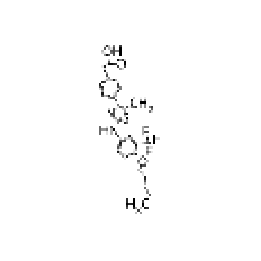 CCCCCOc1ccc(Nc2nc(-c3ccc(CC(=O)O)cc3)c(C)s2)cc1C(F)(F)F